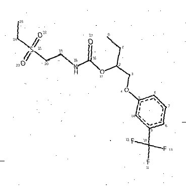 CCC(COc1cccc(C(F)(F)F)c1)OC(=O)NCCS(=O)(=O)CC